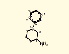 NC1CCCN(c2cnccn2)C1